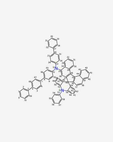 c1ccc(-c2ccc(-c3ccc(N(c4ccc(-c5ccccc5)cc4)c4cc5c(c6ccccc46)-c4c(ccc6ccccc46)C54c5ccccc5N(c5ccccc5)c5ccccc54)cc3)cc2)cc1